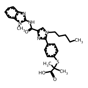 CCCCCn1cc(C(=O)Nc2nc3ccccc3n2C)nc1-c1ccc(SC(C)(C)C(=O)O)cc1